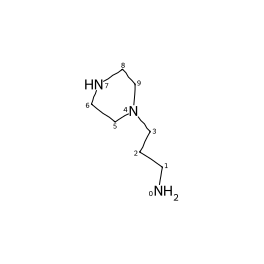 NCCCN1CCNCC1